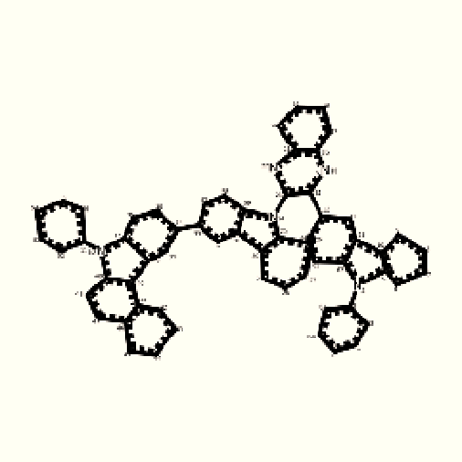 c1ccc(-n2c3ccccc3c3cc(-c4nc5ccccc5nc4-n4c5ccccc5c5cc(-c6ccc7c(c6)c6c8ccccc8ccc6n7-c6ccccc6)ccc54)ccc32)cc1